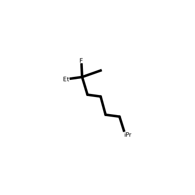 CCC(C)(F)CCCCC(C)C